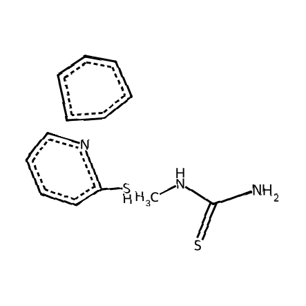 CNC(N)=S.Sc1ccccn1.c1ccccc1